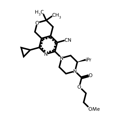 COCCOC(=O)N1CCN(c2nc(C3CC3)c3c(c2C#N)CC(C)(C)OC3)C[C@H]1C(C)C